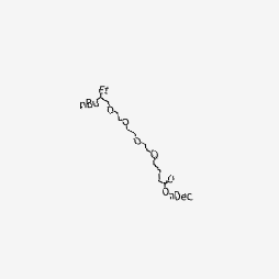 CCCCCCCCCCOC(=O)CCCOCCOCCOCCOCC(CC)CCCC